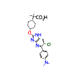 CN(C)c1ccc(-c2nc3nc(O[C@H]4CC[C@H](C(C)(C)C(=O)O)CC4)[nH]c3cc2Cl)cc1